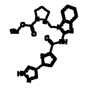 CC(C)(C)OC(=O)N1CCC[C@@H]1Cn1c(NC(=O)c2ccc(-c3cn[nH]c3)s2)nc2ccccc21